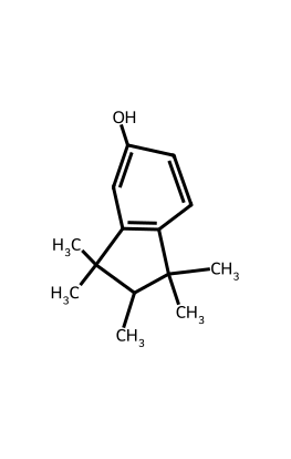 CC1C(C)(C)c2ccc(O)cc2C1(C)C